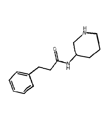 O=C(CCc1ccccc1)NC1CCCNC1